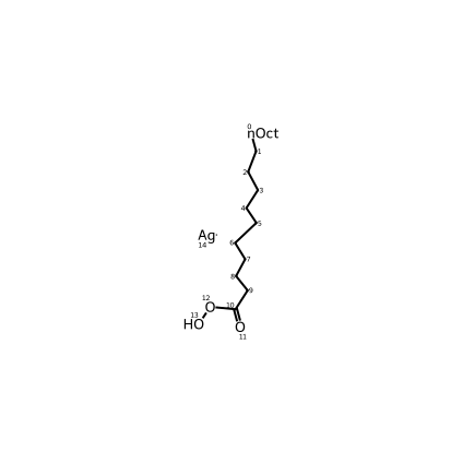 CCCCCCCCCCCCCCCCCC(=O)OO.[Ag]